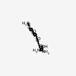 COCCOc1ccc(C(=O)Oc2ccc(/C=C/C(=O)OCCCCCCc3c(N)cc(N)cc3C(=O)O)cc2)cc1